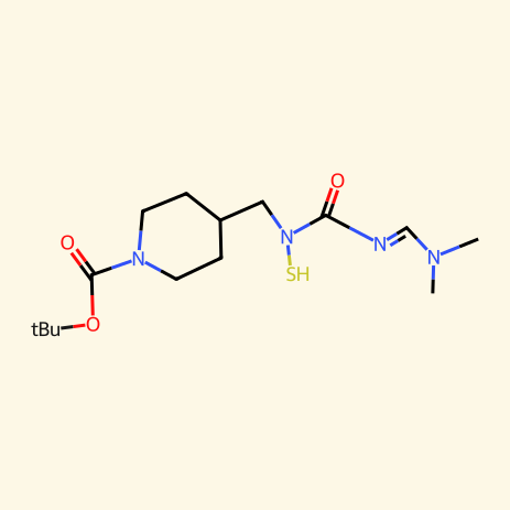 CN(C)C=NC(=O)N(S)CC1CCN(C(=O)OC(C)(C)C)CC1